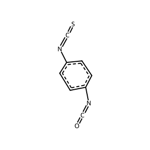 O=C=Nc1ccc(N=C=S)cc1